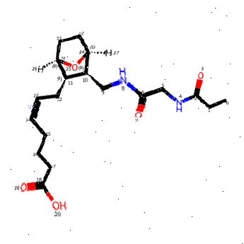 CCC(=O)NCC(=O)NC[C@H]1[C@@H](C/C=C\CCCC(=O)O)[C@H]2CC[C@@H]1O2